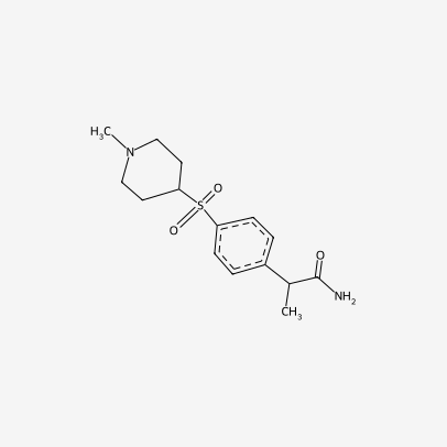 CC(C(N)=O)c1ccc(S(=O)(=O)C2CCN(C)CC2)cc1